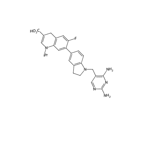 CC(C)N1C=C(C(=O)O)Cc2cc(F)c(-c3ccc4c(c3)CCN4Cc3cnc(N)nc3N)cc21